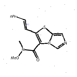 CCC/C=C/c1sc2cncn2c1C(=O)N(C)OC